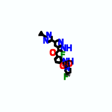 O=C(c1cccc(NS(=O)(=O)N2CC[C@@H](F)C2)c1F)c1c[nH]c2ncc(-c3cnc(C4CC4)nc3)cc12